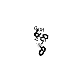 COc1ccc(C(=O)O)c(C)c1[C@@H]1C[C@H](CN[C@H](C)c2cccc3ccccc23)Oc2ccccc21